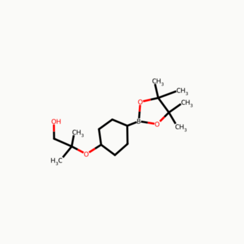 CC(C)(CO)OC1CCC(B2OC(C)(C)C(C)(C)O2)CC1